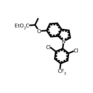 CCOC(=O)C(C)Oc1ccc2ccn(-c3c(Cl)cc(C(F)(F)F)cc3Cl)c2c1